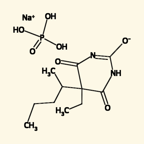 CCCC(C)C1(CC)C(=O)N=C([O-])NC1=O.O=P(O)(O)O.[Na+]